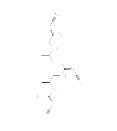 CC(CN/C(=N/C#N)NCC(C)N/C(N)=N/C#N)NC/C(N)=N/C#N